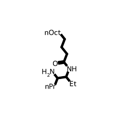 CCCCCCCCCCCC(=O)NC(CC)C(N)CCC